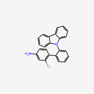 Nc1ccc(-c2ccccc2-n2c3ccccc3c3ccccc32)c(Cl)c1